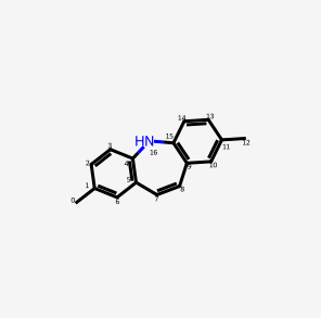 Cc1ccc2c(c1)C=Cc1cc(C)ccc1N2